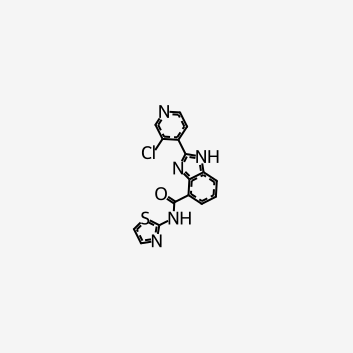 O=C(Nc1nccs1)c1cccc2[nH]c(-c3ccncc3Cl)nc12